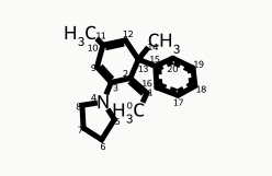 CC=C1C(N2CCCC2)=CC(C)=CC1(C)c1ccccc1